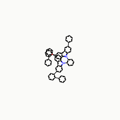 c1ccc(-c2ccc3c(c2)c2cc(-c4ccccc4)ccc2n3-c2ccccc2-n2c3ccc(-c4ccccc4-c4ccccc4)cc3c3cc(-c4ccccc4-c4ccccc4)ccc32)cc1